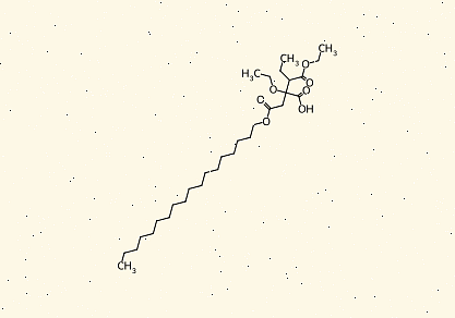 CCCCCCCCCCCCCCCCCCOC(=O)CC(OCC)(C(=O)O)C(CC)C(=O)OCC